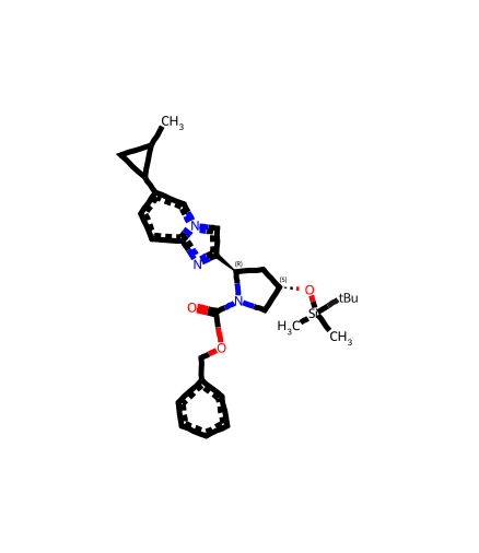 CC1CC1c1ccc2nc([C@H]3C[C@H](O[Si](C)(C)C(C)(C)C)CN3C(=O)OCc3ccccc3)cn2c1